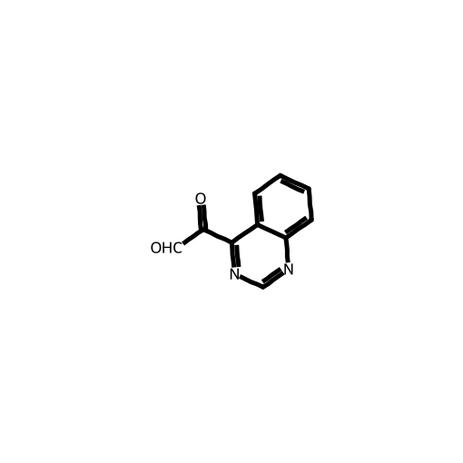 O=CC(=O)c1ncnc2ccccc12